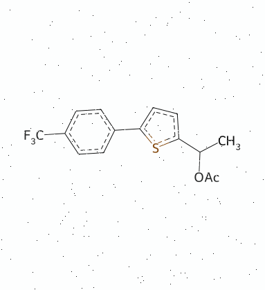 CC(=O)OC(C)c1ccc(-c2ccc(C(F)(F)F)cc2)s1